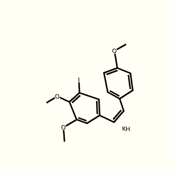 COc1ccc(/C=C\c2cc(I)c(OC)c(OC)c2)cc1.[KH]